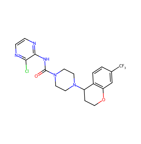 O=C(Nc1nccnc1Cl)N1CCN(C2CCOc3cc(C(F)(F)F)ccc32)CC1